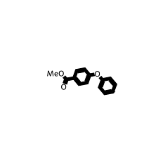 COC(=O)c1ccc(Oc2cc[c]cc2)cc1